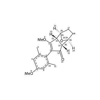 COC1=C(c2c(C)cc(OC)cc2C)C(=O)[C@@H]2[C@H]1[C@H]1CC[C@@H]2O1